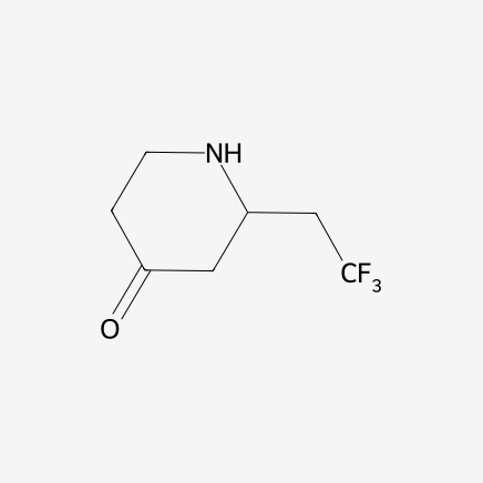 O=C1CCNC(CC(F)(F)F)C1